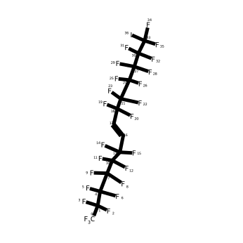 FC(F)(F)C(F)(F)C(F)(F)C(F)(F)C(F)(F)C(F)(F)C=CC(F)(F)C(F)(F)C(F)(F)C(F)(F)C(F)(F)C(F)(F)I